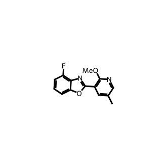 COc1ncc(C)cc1-c1nc2c(F)cccc2o1